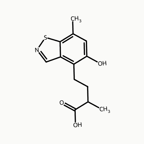 Cc1cc(O)c(CCC(C)C(=O)O)c2cnsc12